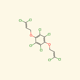 ClC(Cl)=CCOc1c(Cl)c(Cl)c(OCC=C(Cl)Cl)c(Cl)c1Cl